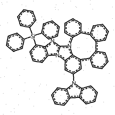 c1ccc([Si](c2ccccc2)(c2ccccc2)c2cccc3c2nc2n3c3cc(-n4c5ccccc5c5ccccc54)cc4c5ccccc5c5ccccc5c5ccccc5n2c43)cc1